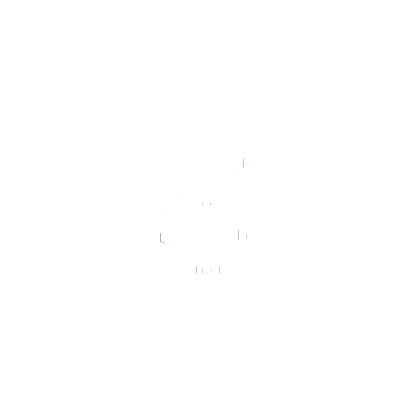 CCCCC(CC)C(OC(=O)c1ccccc1C(=O)O)C(C)C